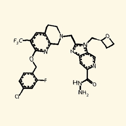 NNC(=O)c1cc2nc(CN3CCc4cc(C(F)(F)F)c(OCc5ccc(Cl)cc5F)nc4C3)n(C[C@@H]3CCO3)c2cn1